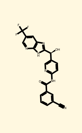 N#Cc1cccc(C(=O)Nc2ccc([C@H](O)c3nc4cc(C(F)(F)F)cnc4[nH]3)cn2)c1